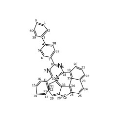 c1ccc(-c2ccc(-c3nc(-c4ccccc4)nc(-c4cccc5ccc6sc7ccccc7c6c45)n3)cc2)cc1